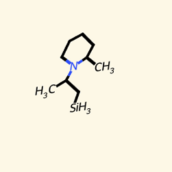 CC(C[SiH3])N1CCCCC1C